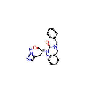 O=C[C@H](Cc1cnc[nH]1)NC(=O)N(Cc1ccccc1)Cc1ccccc1